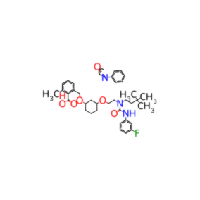 Cc1cccc(COC2CCCC(OCCN(CCC(C)(C)C)C(=O)Nc3cccc(F)c3)C2)c1C(=O)O.O=C=Nc1ccccc1